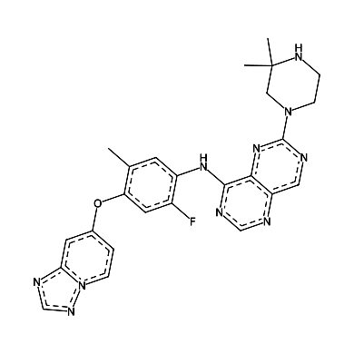 Cc1cc(Nc2ncnc3cnc(N4CCNC(C)(C)C4)nc23)c(F)cc1Oc1ccn2ncnc2c1